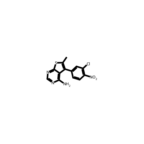 Cc1sc2ncnc(N)c2c1-c1ccc([N+](=O)[O-])c(Cl)c1